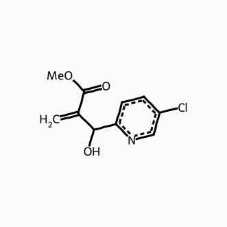 C=C(C(=O)OC)C(O)c1ccc(Cl)cn1